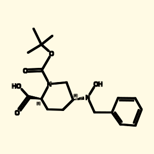 CC(C)(C)OC(=O)N1C[C@H](N(O)Cc2ccccc2)CC[C@H]1C(=O)O